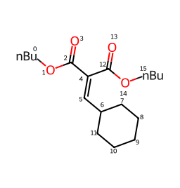 CCCCOC(=O)C(=CC1CCCCC1)C(=O)OCCCC